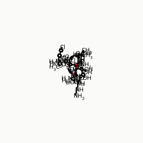 CN[C@H](CC(C)O)C(=O)N[C@H]1C(=O)N[C@@H](CC(N)=O)C(=O)N[C@H]2C(=O)N[C@H]3C(=O)N[C@H](C(=O)N[C@H](C(=O)OCC(=O)NCCCNCCCN)c4cc(O)ccc4-c4cc3ccc4C(O)O)[C@H](O[C@H]3C[C@](C)(N)[C@@H](O)[C@H](C)O3)c3ccc(c(Cl)c3)Oc3cc2cc(c3O[C@@H]2O[C@H](CO)[C@@H](O)[C@H](O)[C@H]2O[C@H]2C[C@](C)(NCc3ccc(-c4ccc(Cl)cc4)cc3)[C@@H](O)[C@H](C)O2)Oc2ccc(cc2Cl)[C@H]1O